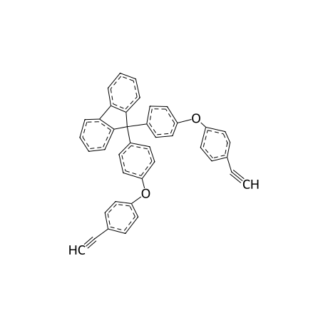 C#Cc1ccc(Oc2ccc(C3(c4ccc(Oc5ccc(C#C)cc5)cc4)c4ccccc4-c4ccccc43)cc2)cc1